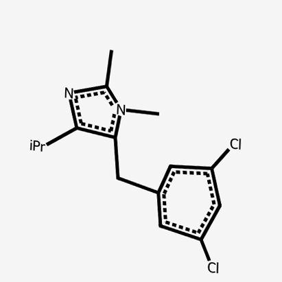 Cc1nc(C(C)C)c(Cc2cc(Cl)cc(Cl)c2)n1C